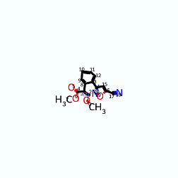 CO/C=C(\C(=O)OC)c1ccccc1-c1cc(C#N)on1